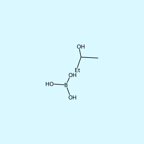 CCC(C)O.OB(O)O